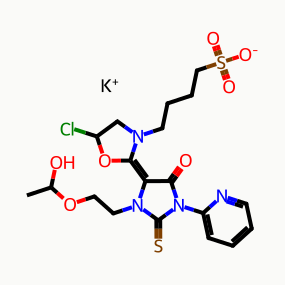 CC(O)OCCN1C(=S)N(c2ccccn2)C(=O)C1=C1OC(Cl)CN1CCCCS(=O)(=O)[O-].[K+]